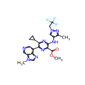 COC(=O)c1nc(-c2cncc3c2ncn3C)c(C2CC2)nc1Nc1cn(CC(F)(F)F)nc1C